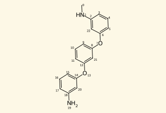 CNc1cccc(Oc2cccc(Oc3cccc(N)c3)c2)c1